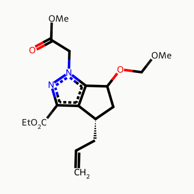 C=CC[C@H]1CC(OCOC)c2c1c(C(=O)OCC)nn2CC(=O)OC